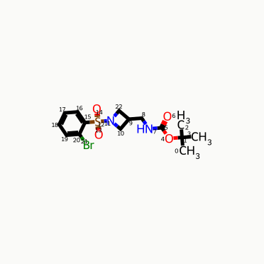 CC(C)(C)OC(=O)NCC1CN(S(=O)(=O)c2ccccc2Br)C1